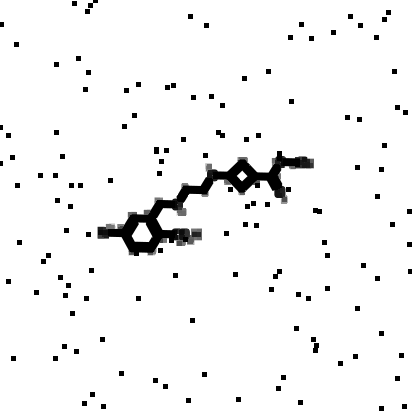 CC(C)(C)OC(=O)C1CC(OCCOCc2cc(Br)ccc2C(=O)O)C1